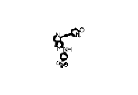 Cn1cc(C#Cc2nccc3cnc(Nc4ccc(S(C)(=O)=O)cc4)cc23)ccc1=O